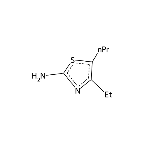 CCCc1sc(N)nc1CC